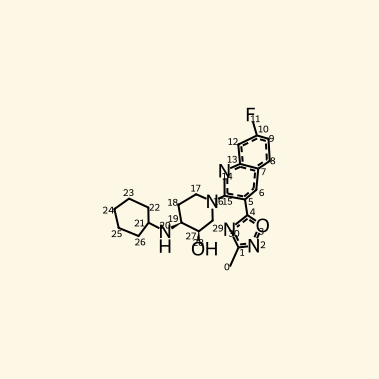 Cc1noc(-c2cc3ccc(F)cc3nc2N2CC[C@H](NC3CCCCC3)[C@H](O)C2)n1